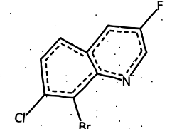 Fc1cnc2c(Br)c(Cl)ccc2c1